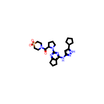 O=C(C1CCCN1c1nc2c(c(Nc3cc(C4CCCC4)[nH]n3)n1)CCC2)N1CCS(=O)(=O)CC1